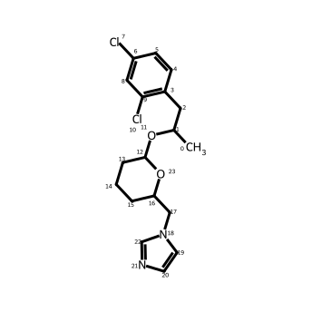 CC(Cc1ccc(Cl)cc1Cl)OC1CCCC(Cn2ccnc2)O1